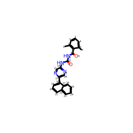 Cc1cccc(C)c1C(=O)NC(=O)Nc1cnc(-c2cccc3ccccc23)cn1